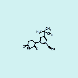 C#Cc1cc(N2CCC(=O)NC2=O)cc(C(C)(C)C)c1